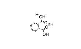 O=C(O)c1ccccc1C(=O)O.[H].[KH]